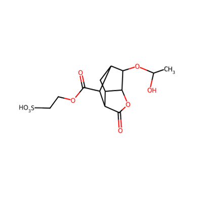 CC(O)OC1C2CC3C1OC(=O)C3C2C(=O)OCCS(=O)(=O)O